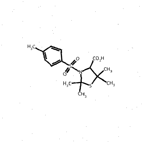 Cc1ccc(S(=O)(=O)N2C(C(=O)O)C(C)(C)SC2(C)C)cc1